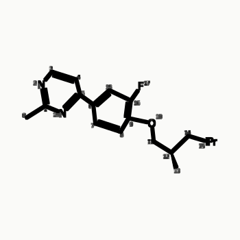 Cc1nccc(-c2ccc(OC[C@H](C)CC(C)C)c(F)c2)n1